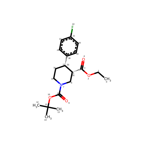 CCOC(=O)[C@@H]1CN(C(=O)OC(C)(C)C)CC[C@@H]1c1ccc(F)cc1